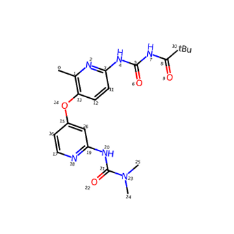 Cc1nc(NC(=O)NC(=O)C(C)(C)C)ccc1Oc1ccnc(NC(=O)N(C)C)c1